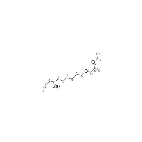 C#CC[C@@H](O)/C=C/C=C/CCOCC(=C)OCC